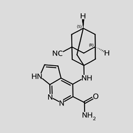 N#CC12C[C@H]3C[C@@H](C1)CC(Nc1c(C(N)=O)nnc4[nH]ccc14)(C3)C2